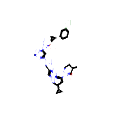 CC1CCN(c2cc(C3CC3)cn3cc(CNc4cc(NC(=O)[C@H]5C[C@@H]5c5cccc(Cl)c5)ncn4)nc23)C1=O